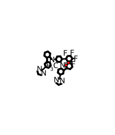 Fc1c(F)c(F)c(-c2ccc(-n3c4ccccc4c4cc(-c5ncccn5)ccc43)c(C(F)(F)F)c2-n2c3ccccc3c3cc(-c4ncccn4)ccc32)c(F)c1F